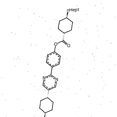 CCCCCCC[C@H]1CC[C@H](C(=O)Oc2ccc(-c3ncc([C@H]4CC[C@H](CC)CC4)cn3)cc2)CC1